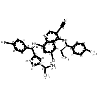 CC[C@@H](Nc1c(C#N)cnc2c(N[C@@H](c3ccc(F)cc3)c3cn(C(C)C)nn3)cc(Cl)cc12)c1ccc(C)cc1